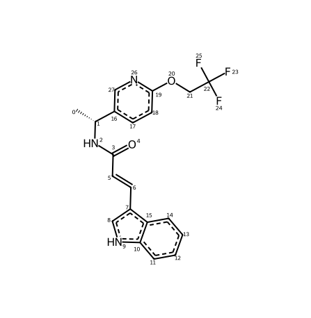 C[C@@H](NC(=O)/C=C/c1c[nH]c2ccccc12)c1ccc(OCC(F)(F)F)nc1